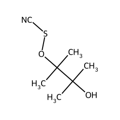 CC(C)(O)C(C)(C)OSC#N